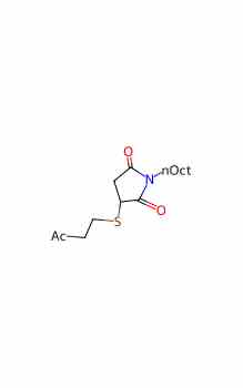 CCCCCCCCN1C(=O)CC(SCCC(C)=O)C1=O